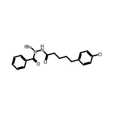 CC(C)(C)N(NC(=O)CCCCc1ccc(Cl)cc1)C(=O)c1ccccc1